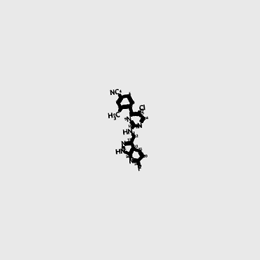 Cc1cc(C#N)ccc1-c1nc(NCc2n[nH]c3nc(F)ccc23)ncc1Cl